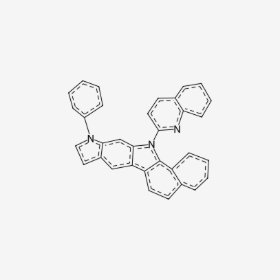 c1ccc(-n2ccc3cc4c5ccc6ccccc6c5n(-c5ccc6ccccc6n5)c4cc32)cc1